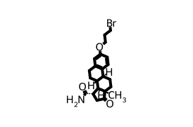 C[C@]12CC[C@@H]3c4ccc(OCCCBr)cc4CC[C@H]3[C@@H]1[C@@H](C(N)=O)CC2=O